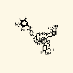 O=C(O)c1c(F)ccc2c1OB(O)C(NC(=O)C(NC(=O)N1CCN(C3CCN(C(=O)Nc4cc(F)c(F)c(O)c4F)CC3)C1=O)c1cc(F)c(O)c(O)c1Cl)C2